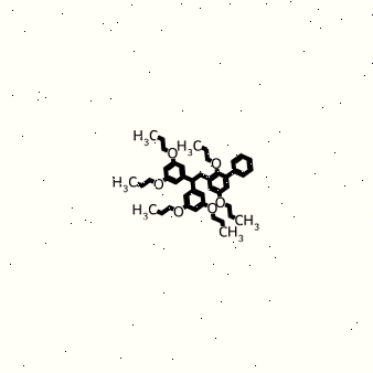 CCCOc1cc(OCCC)cc(C([CH]c2cc(OCCC)cc(-c3ccccc3)c2OCCC)c2cc(OCCC)cc(OCCC)c2)c1